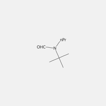 [CH2]CCN(C=O)C(C)(C)C